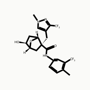 Cc1ccc(NC(=O)[C@@]2(Cc3cn(C)nc3C(F)(F)F)C[C@H]3O[C@@H]2C[C@@H]3O)cc1C(F)(F)F